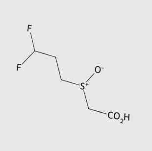 O=C(O)C[S+]([O-])CCC(F)F